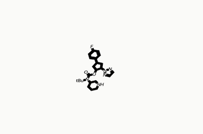 CC(C)(C)N(C(=O)OC1CC(c2ccc(F)cc2)CC1n1nccn1)C1CCCNC1